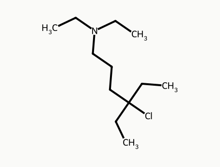 CCN(CC)CCCC(Cl)(CC)CC